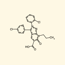 CCCn1c(=O)c(C(=O)O)cc2c(-c3ccc(Cl)cc3)n(-c3ccccc3Cl)nc21